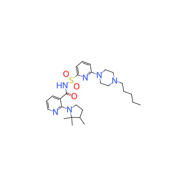 CCCCCN1CCN(c2cccc(S(=O)(=O)NC(=O)c3cccnc3N3CCC(C)C3(C)C)n2)CC1